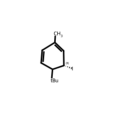 CC1=C[C@H](I)C(C(C)(C)C)C=C1